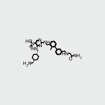 Cc1c(CNc2ncc([N+](=O)O)c(NC[C@H]3CC[C@H](CN)CC3)n2)cccc1-c1cccc(CNCC(N)=O)c1